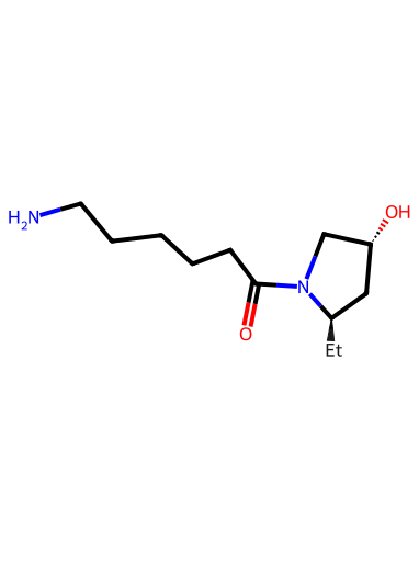 CC[C@@H]1C[C@@H](O)CN1C(=O)CCCCCN